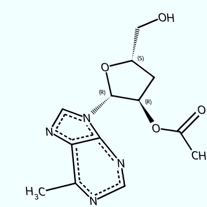 CC(=O)O[C@@H]1C[C@@H](CO)O[C@H]1n1cnc2c(C)ncnc21